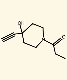 C#CC1(O)CCN(C(=O)CC)CC1